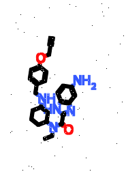 C#CCOc1ccc(CNC2CCCC(N(CC)C(=O)c3nc4cc(N)ccc4[nH]3)C2)cc1